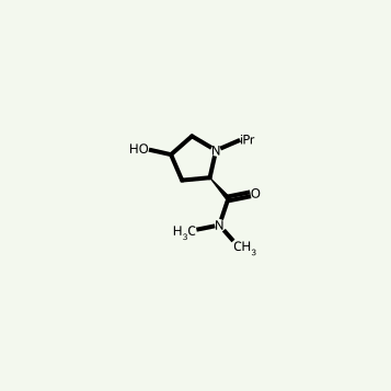 CC(C)N1CC(O)C[C@@H]1C(=O)N(C)C